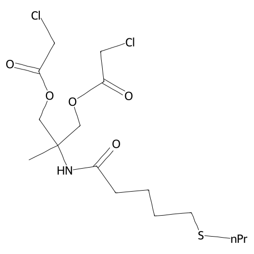 CCCSCCCCC(=O)NC(C)(COC(=O)CCl)COC(=O)CCl